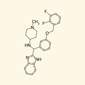 CN1CCC(NC(c2cccc(OCc3cccc(F)c3F)c2)c2nc3ccccc3[nH]2)CC1